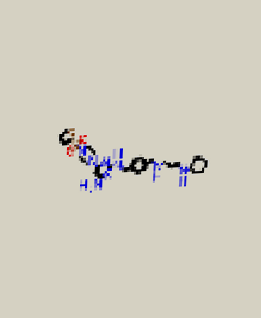 Nc1cc(N2CCN(S(=O)(=O)c3cccs3)CC2)nc(NCc2ccc(CNCCCNC3CCCCC3)cc2)n1